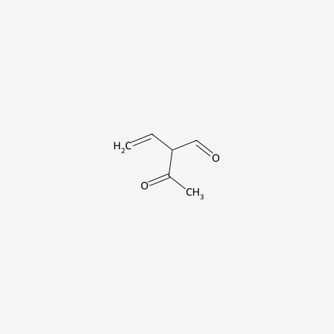 C=CC(C=O)C(C)=O